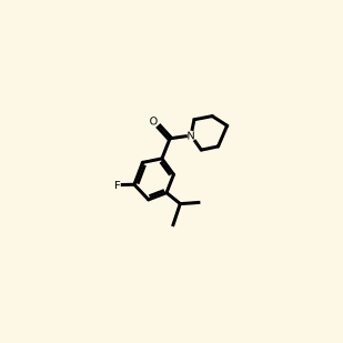 CC(C)c1cc(F)cc(C(=O)N2CCCCC2)c1